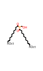 CCCCCCCCC=CCCCCCCCC(=O)P(CO)C(=O)CCCCCCCC=CCCCCCCCC